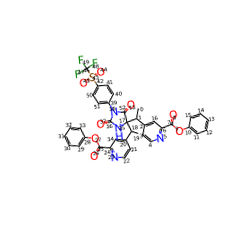 CC(c1ccnc(C(=O)Oc2ccccc2)c1)C1(C(C)c2ccnc(C(=O)Oc3ccccc3)c2)NC(=O)N(c2ccc(S(=O)(=O)C(F)(F)F)cc2)C1=O